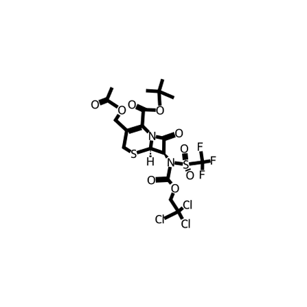 CC(=O)OCC1=C(C(=O)OC(C)(C)C)N2C(=O)[C@@H](N(C(=O)OCC(Cl)(Cl)Cl)S(=O)(=O)C(F)(F)F)[C@H]2SC1